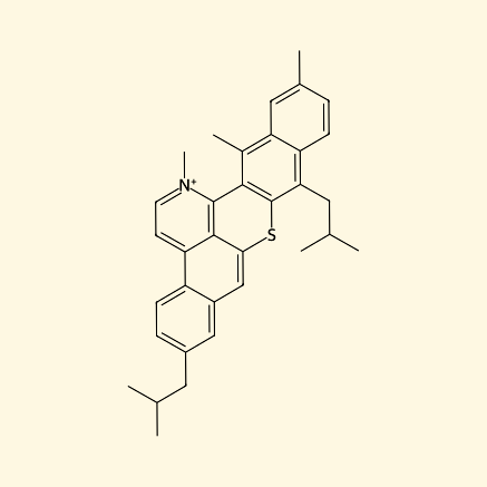 Cc1ccc2c(CC(C)C)c3c(c(C)c2c1)-c1c2c(cc4cc(CC(C)C)ccc4c2cc[n+]1C)S3